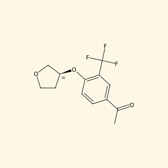 CC(=O)c1ccc(O[C@H]2CCOC2)c(C(F)(F)F)c1